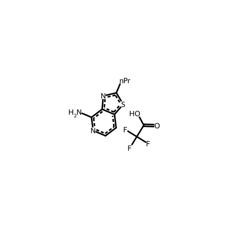 CCCc1nc2c(N)nccc2s1.O=C(O)C(F)(F)F